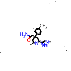 C[C@H]1C[C@@](CC(N)=O)(c2ccc(C(F)(F)F)cc2)C[C@@H](c2cn(C)nn2)N1